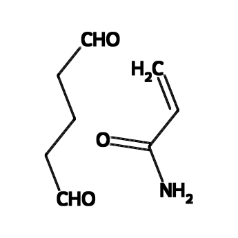 C=CC(N)=O.O=CCCCC=O